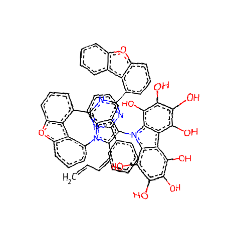 C=C/C=C\c1c(-n2c3c(O)c(O)c(O)c(O)c3c3c(O)c(O)c(O)c(O)c32)c2ccccc2n1-c1cccc2oc3cccc(-c4nc(-c5ccccc5)nc(-c5cccc6oc7ccccc7c56)n4)c3c12